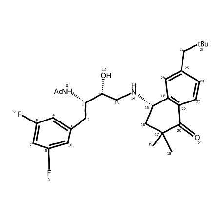 CC(=O)N[C@@H](Cc1cc(F)cc(F)c1)[C@H](O)CN[C@H]1CC(C)(C)C(=O)c2ccc(CC(C)(C)C)cc21